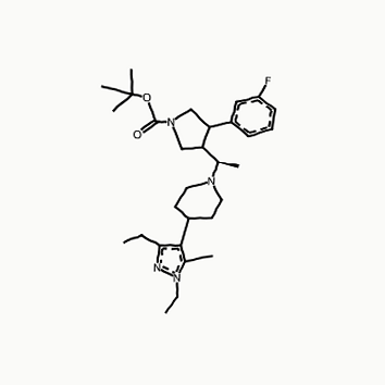 CCc1nn(CC)c(C)c1C1CCN([C@H](C)C2CN(C(=O)OC(C)(C)C)CC2c2cccc(F)c2)CC1